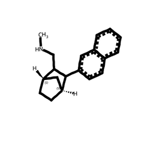 CNCC1C(c2ccc3ccccc3c2)[C@H]2CC[C@H]1C2